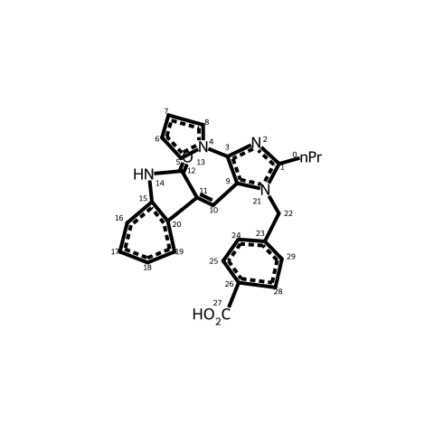 CCCc1nc(-n2cccc2)c(C=C2C(=O)Nc3ccccc32)n1Cc1ccc(C(=O)O)cc1